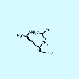 CC(C)=CCC/C(C)=C/C=O.CCC(CC)C(=O)O